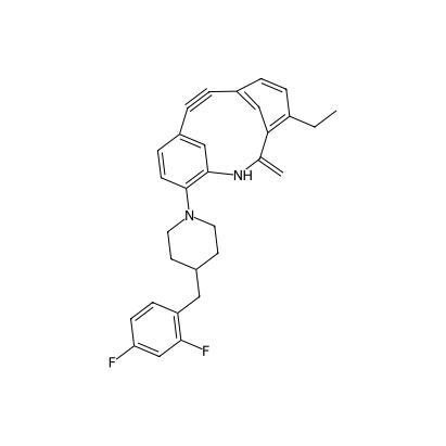 C=C1Nc2cc(ccc2N2CCC(Cc3ccc(F)cc3F)CC2)C#Cc2ccc(CC)c1c2